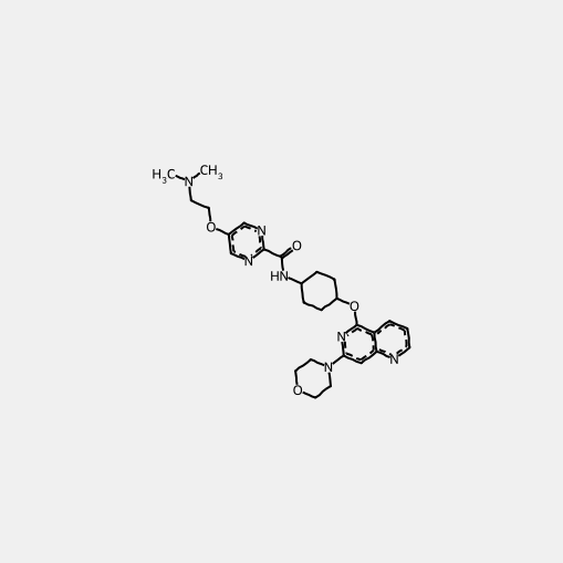 CN(C)CCOc1cnc(C(=O)NC2CCC(Oc3nc(N4CCOCC4)cc4ncccc34)CC2)nc1